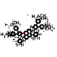 [2H]c1c([2H])c([2H])c(N(c2cc(-c3ccc([Si](C)(C)C)cc3)c(-c3ccc([SiH](C)C)cc3)cc2F)c2ccc3ccc4c(N(c5cc(-c6ccc([Si](C)(C)C)cc6)c(-c6ccc([Si](C)(C)C)cc6)cc5F)c5c([2H])c([2H])c([2H])c([2H])c5[2H])ccc5ccc2c3c54)c([2H])c1[2H]